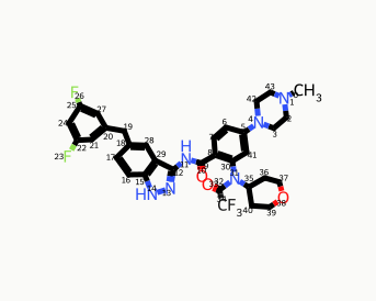 CN1CCN(c2ccc(C(=O)Nc3n[nH]c4ccc(Cc5cc(F)cc(F)c5)cc34)c(N(C(=O)C(F)(F)F)C3CCOCC3)c2)CC1